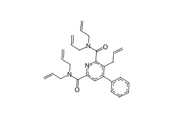 C=CCc1c(-c2ccccc2)cc(C(=O)N(CC=C)CC=C)nc1C(=O)N(CC=C)CC=C